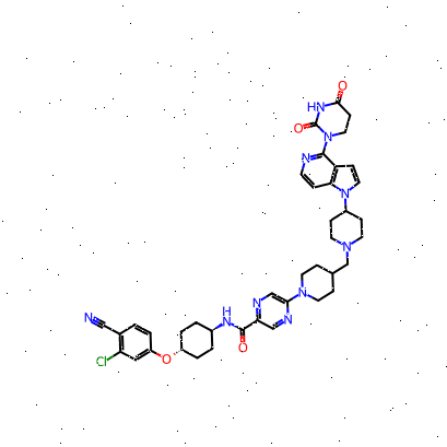 N#Cc1ccc(O[C@H]2CC[C@H](NC(=O)c3cnc(N4CCC(CN5CCC(n6ccc7c(N8CCC(=O)NC8=O)nccc76)CC5)CC4)cn3)CC2)cc1Cl